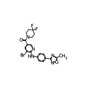 Cc1nc(-c2ccc(Nc3ncc(C(=O)N4CCC(F)(F)CC4)cc3Br)cc2)no1